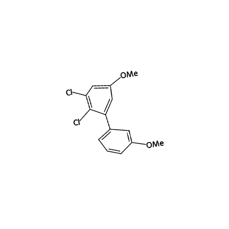 COc1cccc(-c2cc(OC)cc(Cl)c2Cl)c1